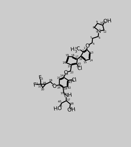 Cc1c(OCCCN2CCC(O)C2)cccc1-c1cccc(COc2cc(OCC3CC3(F)F)c(CNC(CO)CO)cc2Cl)c1Cl